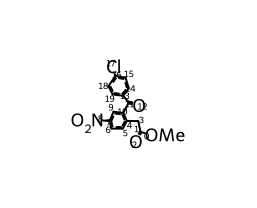 COC(=O)Cc1ccc([N+](=O)[O-])cc1C(=O)c1ccc(Cl)cc1